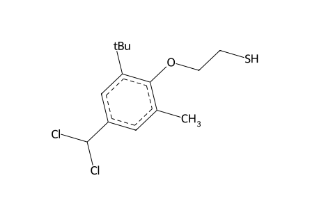 Cc1cc(C(Cl)Cl)cc(C(C)(C)C)c1OCCS